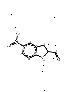 O=CC1Cc2cc([N+](=O)[O-])ccc2O1